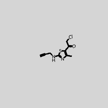 C#CCNc1nc(C)c(C(=O)CCl)s1